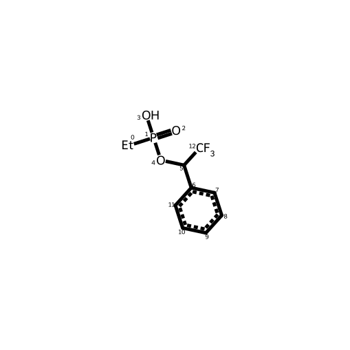 CCP(=O)(O)OC(c1ccccc1)C(F)(F)F